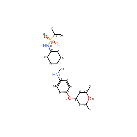 CC1CC(Oc2ccc(NC[C@H]3CC[C@H](NS(=O)(=O)C(C)C)CC3)cc2)CC(C)O1